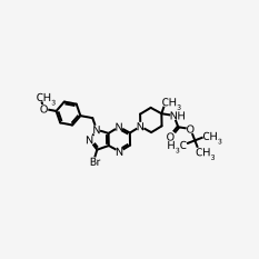 COc1ccc(Cn2nc(Br)c3ncc(N4CCC(C)(NC(=O)OC(C)(C)C)CC4)nc32)cc1